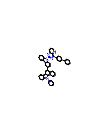 c1ccc(-c2ccc(-c3nc(-n4c5ccccc5c5cc(-c6cc7c8ccccc8n(-c8ccccc8)c7c7ccccc67)ccc54)nc4cccnc34)cc2)cc1